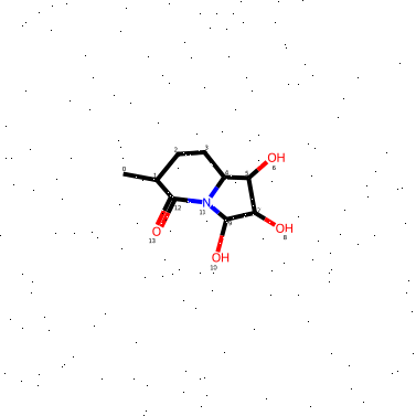 CC1CCC2C(O)C(O)C(O)N2C1=O